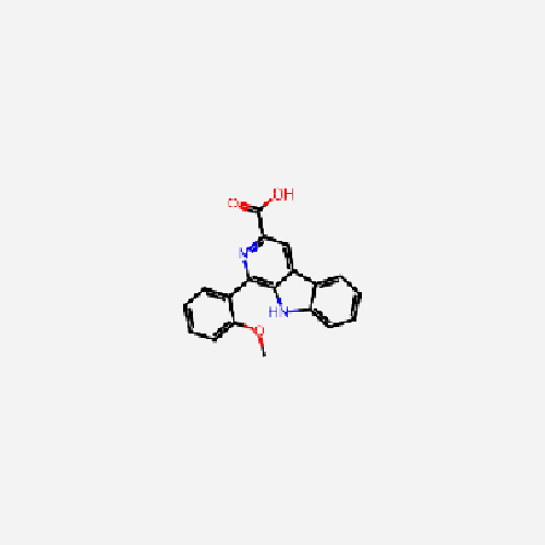 COc1ccccc1-c1nc(C(=O)O)cc2c1[nH]c1ccccc12